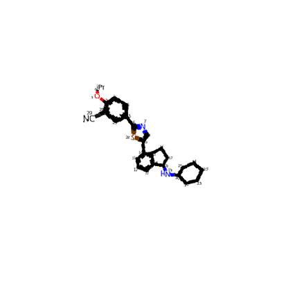 CC(C)Oc1ccc(-c2ncc(-c3cccc4c3CCC4NC3CCCCC3)s2)cc1C#N